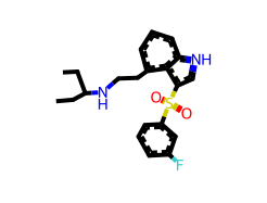 CCC(CC)NCCc1cccc2[nH]cc(S(=O)(=O)c3cccc(F)c3)c12